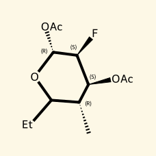 CCC1O[C@H](OC(C)=O)[C@@H](F)[C@@H](OC(C)=O)[C@@H]1C